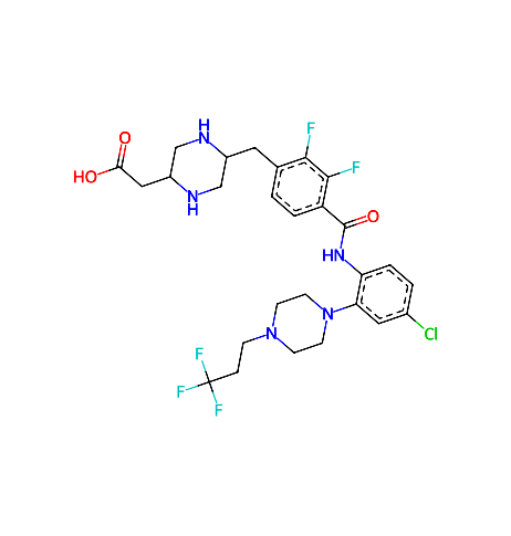 O=C(O)CC1CNC(Cc2ccc(C(=O)Nc3ccc(Cl)cc3N3CCN(CCC(F)(F)F)CC3)c(F)c2F)CN1